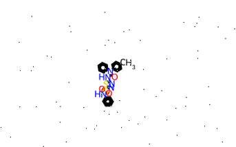 CC1CCC(N(C(=O)Nc2nnc(S(=O)(=O)Nc3ccccc3)s2)C2CCCCC2)CC1